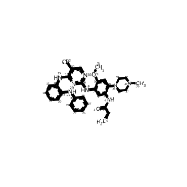 C=CC(=O)Nc1cc(Nc2ncc(Cl)c(Nc3ccccc3Nc3ccccc3)n2)c(OC)cc1N1CCN(C)CC1